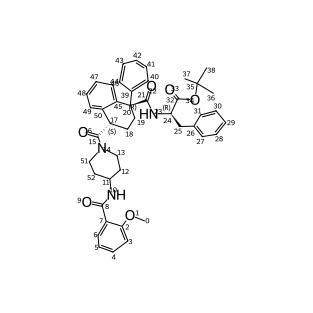 COc1ccccc1C(=O)NC1CCN(C(=O)[C@H]2CC[C@@](C(=O)N[C@H](Cc3ccccc3)C(=O)OC(C)(C)C)(c3ccccc3)c3ccccc32)CC1